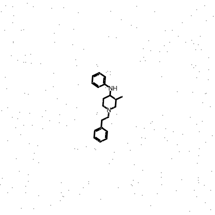 CC1CN(CCc2ccccc2)CCC1Nc1ccccc1